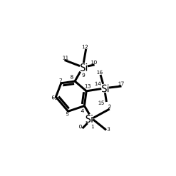 C[Si](C)(C)c1c[c]cc([Si](C)(C)C)c1[Si](C)(C)C